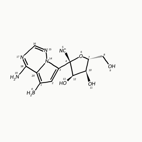 Bc1cc([C@]2(C#N)O[C@H](CO)[C@@H](O)[C@H]2O)n2ncnc(N)c12